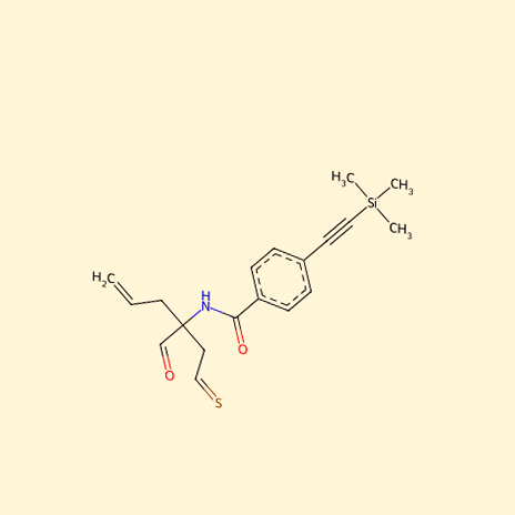 C=CCC(C=O)(CC=S)NC(=O)c1ccc(C#C[Si](C)(C)C)cc1